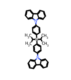 CC(C)[Si](c1ccc(-n2c3ccccc3c3ccccc32)cc1)(c1ccc(-n2c3ccccc3c3ccccc32)cc1)C(C)C